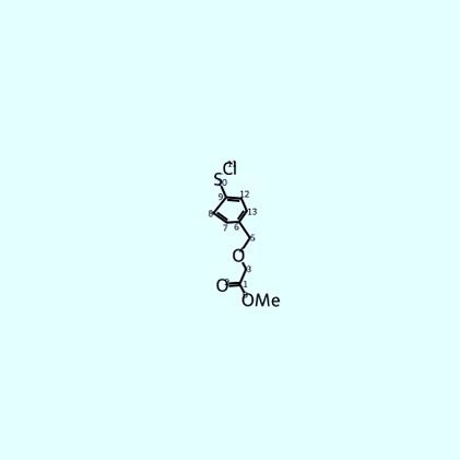 COC(=O)COCc1ccc(SCl)cc1